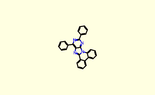 c1ccc(-c2nc(-c3ccccc3)c3nc4c5ccccc5c5ccccc5n4c3n2)cc1